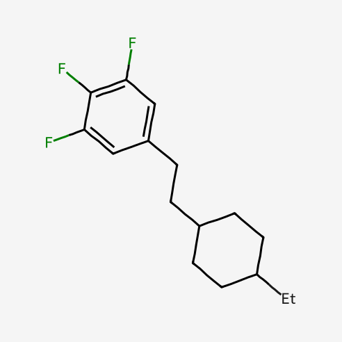 CCC1CCC(CCc2cc(F)c(F)c(F)c2)CC1